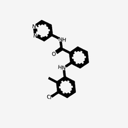 Cc1c(Cl)cccc1Nc1ccccc1C(=O)Nc1ccnnc1